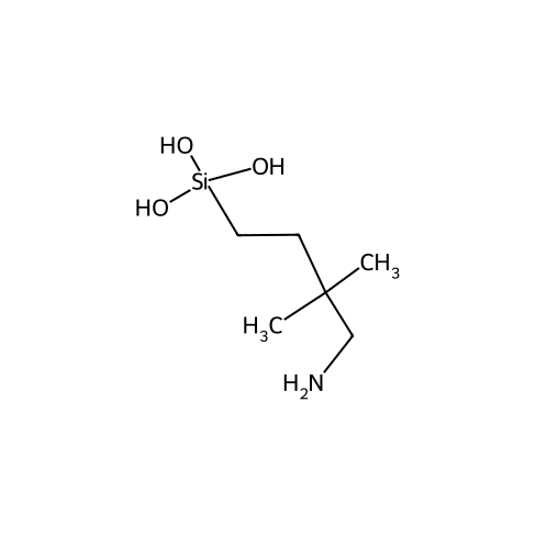 CC(C)(CN)CC[Si](O)(O)O